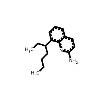 CCCCC(CC)c1cccc2ccc(N)nc12